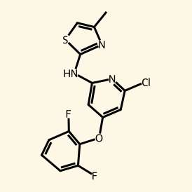 Cc1csc(Nc2cc(Oc3c(F)cccc3F)cc(Cl)n2)n1